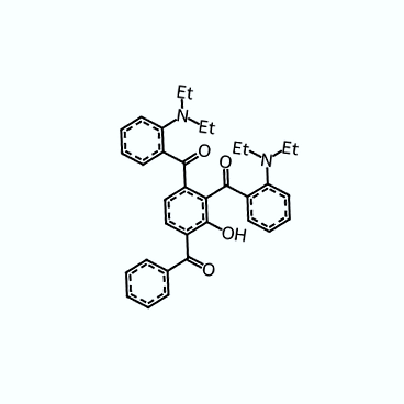 CCN(CC)c1ccccc1C(=O)c1ccc(C(=O)c2ccccc2)c(O)c1C(=O)c1ccccc1N(CC)CC